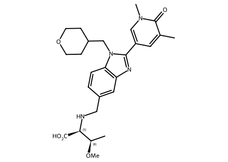 CO[C@H](C)[C@H](NCc1ccc2c(c1)nc(-c1cc(C)c(=O)n(C)c1)n2CC1CCOCC1)C(=O)O